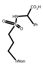 CCCCCCCCCCCCS(=O)(=O)NC(C(=O)O)C(C)C